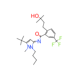 CCCCn1c(=NC(=O)c2cc(C(F)(F)F)ccc2CCC(C)(C)O)cc(C(C)(C)C)n1C